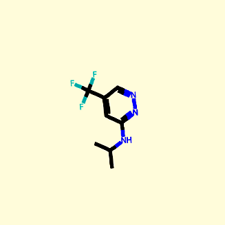 CC(C)Nc1cc(C(F)(F)F)cnn1